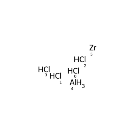 Cl.Cl.Cl.Cl.[AlH3].[Zr]